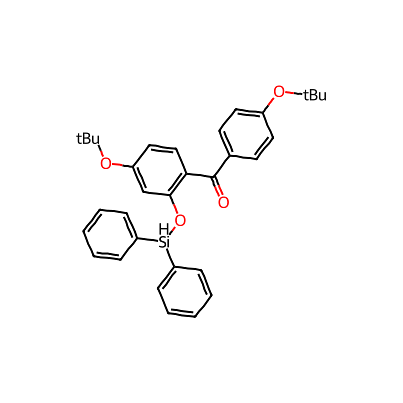 CC(C)(C)Oc1ccc(C(=O)c2ccc(OC(C)(C)C)cc2O[SiH](c2ccccc2)c2ccccc2)cc1